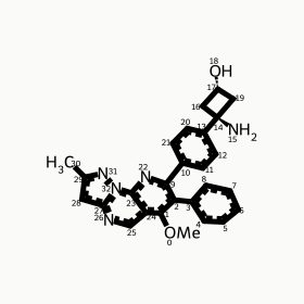 COc1c(-c2ccccc2)c(-c2ccc([C@]3(N)C[C@H](O)C3)cc2)nc2c1cnc1cc(C)nn12